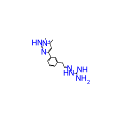 CC1C=C(c2cccc(CC=NNC(=N)N)c2)N=C2N[N+]21C